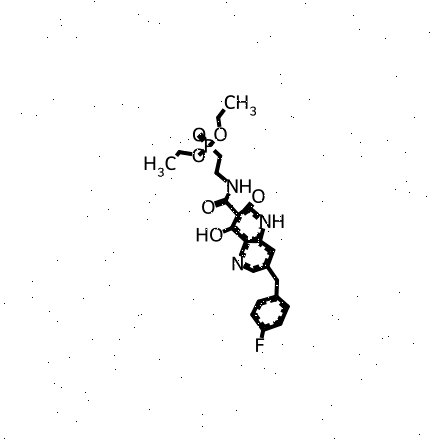 CCOP(=O)(CCNC(=O)c1c(O)c2ncc(Cc3ccc(F)cc3)cc2[nH]c1=O)OCC